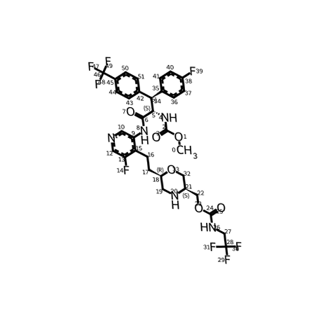 COC(=O)N[C@H](C(=O)Nc1cncc(F)c1CC[C@@H]1CN[C@H](COC(=O)NCC(F)(F)F)CO1)[C@H](c1ccc(F)cc1)c1ccc(C(F)(F)F)cc1